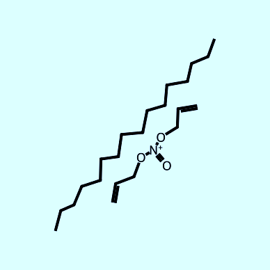 C=CCO[N+](=O)OCC=C.CCCCCCCCCCCCCCCC